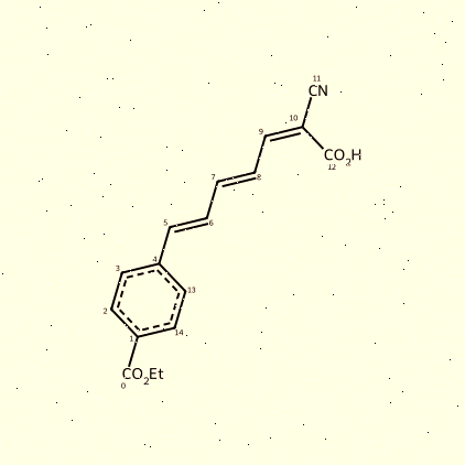 CCOC(=O)c1ccc(C=CC=CC=C(C#N)C(=O)O)cc1